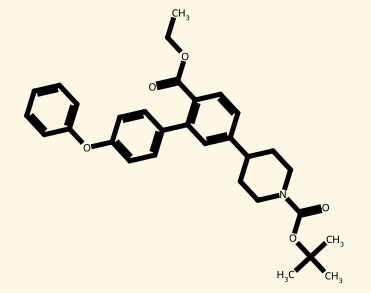 CCOC(=O)c1ccc(C2CCN(C(=O)OC(C)(C)C)CC2)cc1-c1ccc(Oc2ccccc2)cc1